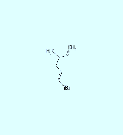 C=CC(C)CC=CC(C)CC